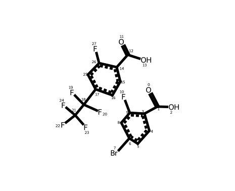 O=C(O)c1ccc(Br)cc1F.O=C(O)c1ccc(C(F)(F)C(F)(F)F)cc1F